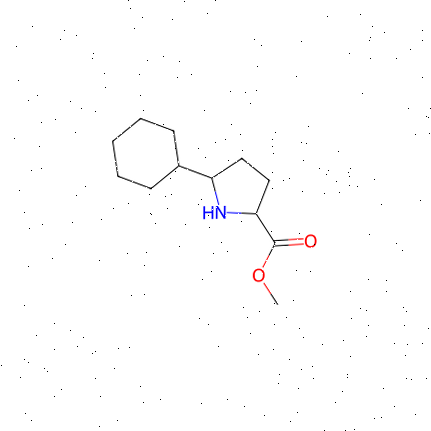 COC(=O)C1CCC(C2CCCCC2)N1